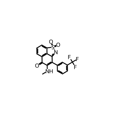 CNC1=C(c2cccc(C(F)(F)F)c2)C2=NS(=O)(=O)c3cccc(c32)C1=O